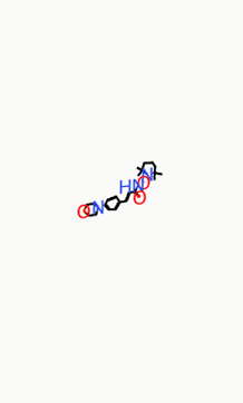 CC1(C)CCCC(C)(C)N1ONC(=O)/C=C/c1ccc(N2CCOCC2)cc1